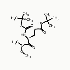 CON(C)C(=O)[C@H](CCC(=O)NC(C)(C)C)NC(=O)OC(C)(C)C